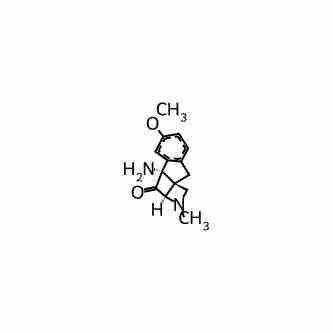 COc1ccc2c(c1)[C@]1(N)C(=O)[C@@H]3N(C)C[C@@]31C2